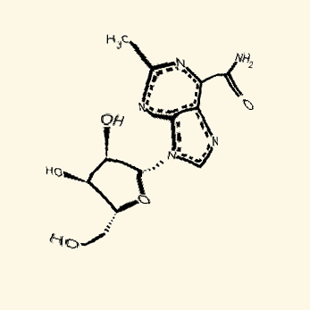 Cc1nc(C(N)=O)c2ncn([C@@H]3O[C@H](CO)[C@@H](O)[C@H]3O)c2n1